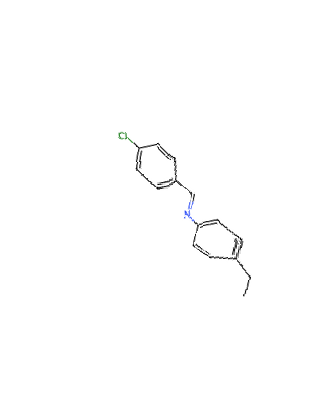 CCc1ccc(N=Cc2ccc(Cl)cc2)cc1